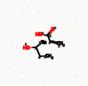 C=CC(=O)O.CC[CH](O)[Na]